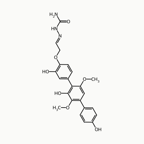 COc1cc(-c2ccc(O)cc2)c(OC)c(O)c1-c1ccc(OC/C=N/NC(N)=O)c(O)c1